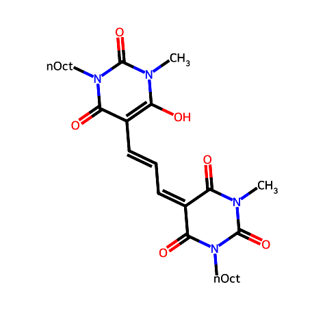 CCCCCCCCN1C(=O)C(=CC=Cc2c(O)n(C)c(=O)n(CCCCCCCC)c2=O)C(=O)N(C)C1=O